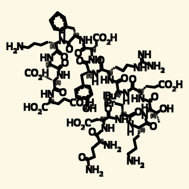 CC[C@H](C)[C@H](NC(=O)[C@H](CCC(=O)O)NC(=O)[C@@H](NC(=O)[C@H](CCCCN)NC(=O)[C@H](CC(C)C)NC(=O)[C@H](CC(=O)O)NC(=O)[C@@H](N)CCC(N)=O)[C@@H](C)O)C(=O)N[C@@H](CCCNC(=N)N)C(=O)N[C@@H](Cc1ccc(O)cc1)C(=O)N[C@@H](CC(=O)O)C(=O)N[C@@H](Cc1ccccc1)C(=O)N[C@@H](CCCCN)C(=O)N[C@@H](C)C(=O)N[C@@H](CC(=O)O)C(=O)N[C@@H](CCC(=O)O)C(=O)O